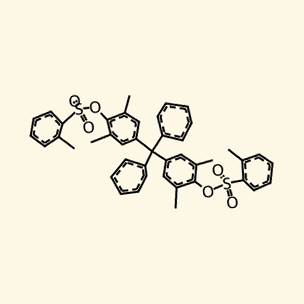 Cc1ccccc1S(=O)(=O)Oc1c(C)cc(C(c2ccccc2)(c2ccccc2)c2cc(C)c(OS(=O)(=O)c3ccccc3C)c(C)c2)cc1C